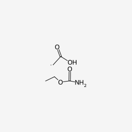 CCOC(N)=O.[CH2]C(=O)O